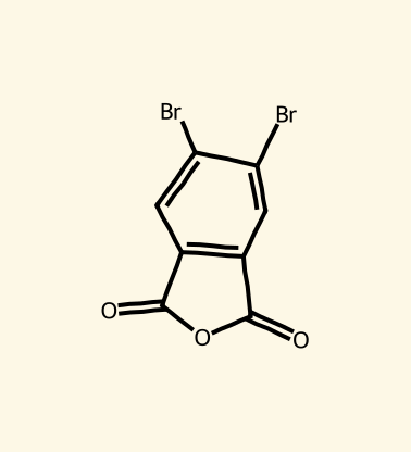 O=C1OC(=O)c2cc(Br)c(Br)cc21